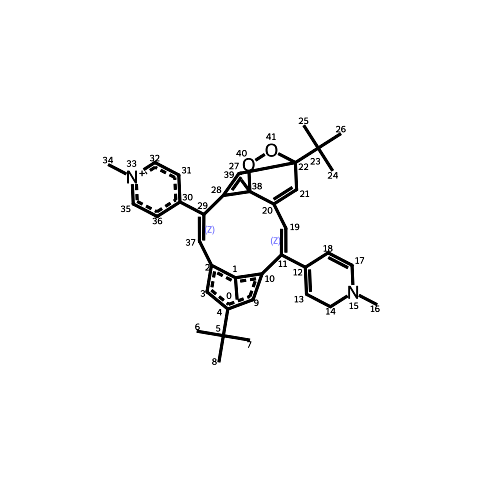 Cc1c2cc(C(C)(C)C)cc1/C(C1=CCN(C)C=C1)=C\C1=CC3(C(C)(C)C)C=C(/C(c4cc[n+](C)cc4)=C\2)C1(C)OO3